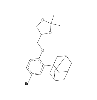 CC1(C)OCC(COc2ccc(Br)cc2C23CC4CC(CC(C4)C2)C3)O1